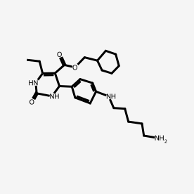 CCC1=C(C(=O)OCC2CCCCC2)C(c2ccc(NCCCCCN)cc2)NC(=O)N1